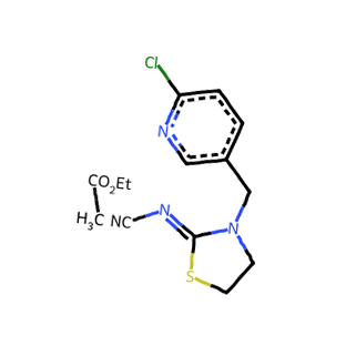 CCOC(C)=O.N#CN=C1SCCN1Cc1ccc(Cl)nc1